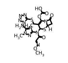 CON=CC(=O)N(c1nc(N)n(C)n1)C1S[C@H]2CC(=O)N2C(OC(=O)O)=C1C(C)Sc1nnn[nH]1